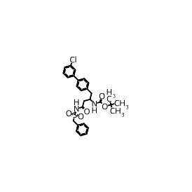 CC(C)(C)OC(=O)NC(CC(=O)NS(=O)(=O)Cc1ccccc1)Cc1ccc(-c2cccc(Cl)c2)cc1